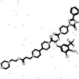 Nc1c(Cl)cc(C[C@@H](OC(=O)N2CCC(n3nc(-c4ccccc4)[nH]c3=O)CC2)C(=O)N2CCC(C3CCN(CCC(=O)OCCN4CCOCC4)CC3)CC2)cc1C(F)(F)F